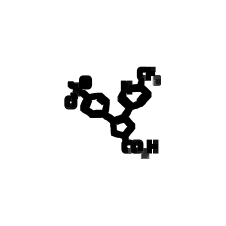 CS(=O)(=O)c1ccc(C2=C(c3ccc(C(F)(F)F)nc3)CC(C(=O)O)C2)cc1